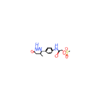 CC1CC(=O)NN=C1c1ccc(NC(=O)COS(C)(=O)=O)cc1